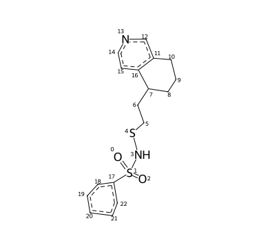 O=S(=O)(NSCCC1CCCc2cnccc21)c1ccccc1